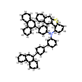 c1cc(-c2ccc(-c3cc4ccccc4c4ccccc34)cc2)cc(N(c2ccc(-c3cc4ccccc4c4ccccc34)cc2)c2cccc3sc4cc5ccccc5cc4c23)c1